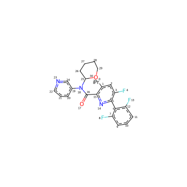 CC(C)c1cc(F)c(-c2c(F)cccc2F)nc1C(=O)N(c1cccnc1)C1CCCCO1